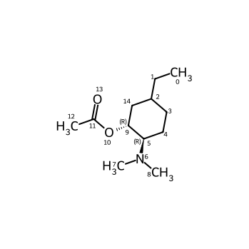 CCC1CC[C@@H](N(C)C)[C@H](OC(C)=O)C1